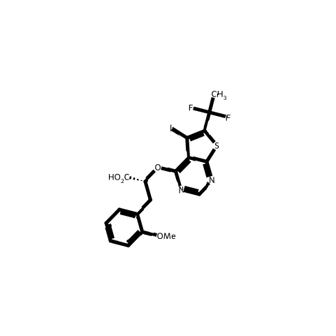 COc1ccccc1C[C@@H](Oc1ncnc2sc(C(C)(F)F)c(I)c12)C(=O)O